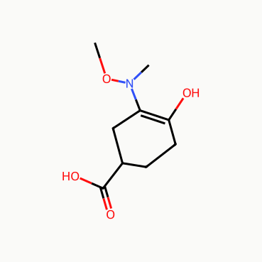 CON(C)C1=C(O)CCC(C(=O)O)C1